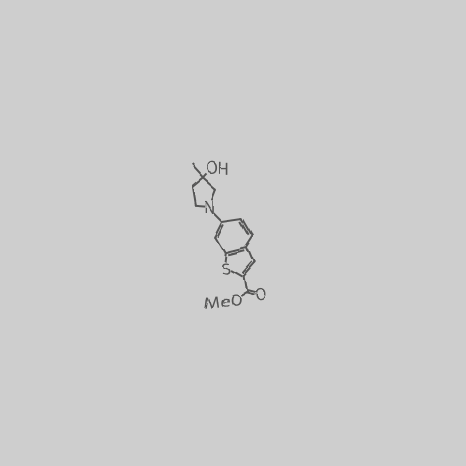 COC(=O)c1cc2ccc(N3CCC(C)(O)C3)cc2s1